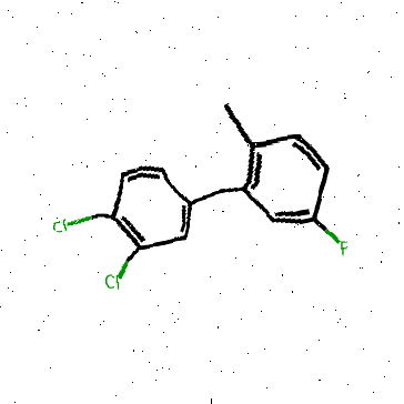 Cc1ccc(F)cc1-c1ccc(Cl)c(Cl)c1